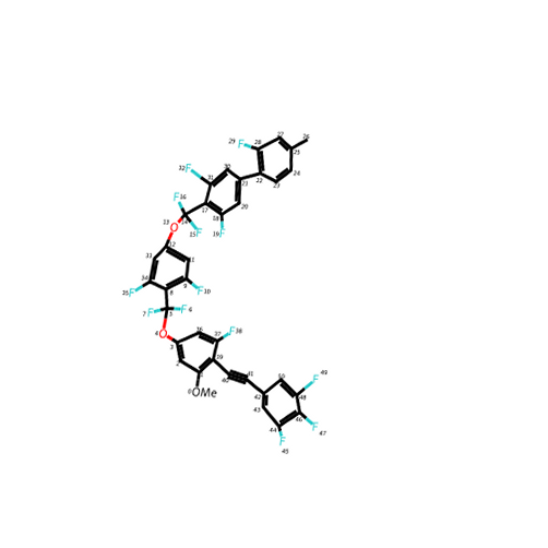 COc1cc(OC(F)(F)c2c(F)cc(OC(F)(F)c3c(F)cc(-c4ccc(C)cc4F)cc3F)cc2F)cc(F)c1C#Cc1cc(F)c(F)c(F)c1